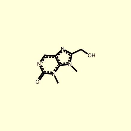 Cn1c(CO)nc2cnc(=O)n(C)c21